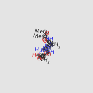 COC(=O)CCC(NC(=O)c1ccc(N(C)Cc2cnc3nc(N)nc(NC(=O)OCc4ccc(B(O)O)c(C)c4)c3n2)cc1)C(=O)OC